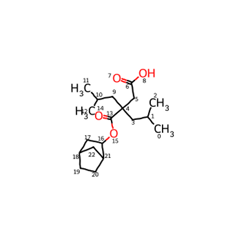 CC(C)CC(CC(=O)O)(CC(C)C)C(=O)OC1CC2CCC1C2